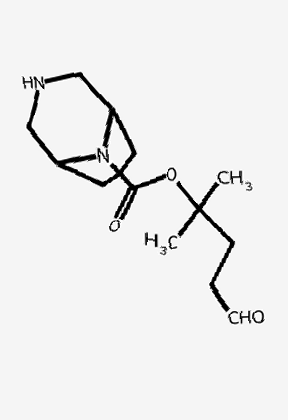 CC(C)(CCC=O)OC(=O)N1C2CCC1CNC2